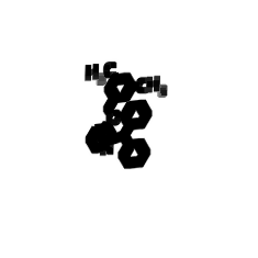 Cc1cc(C)cc(COC2C3CCN(CC3)C2C(c2ccccc2)c2ccccc2)c1